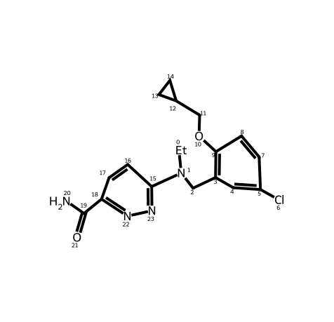 CCN(Cc1cc(Cl)ccc1OCC1CC1)c1ccc(C(N)=O)nn1